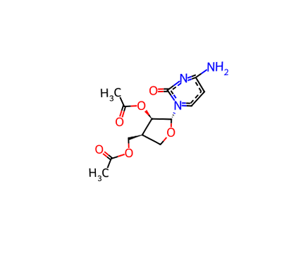 CC(=O)OC[C@@H]1CO[C@@H](n2ccc(N)nc2=O)[C@@H]1OC(C)=O